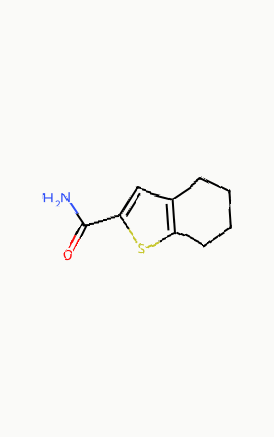 NC(=O)c1cc2c(s1)CCCC2